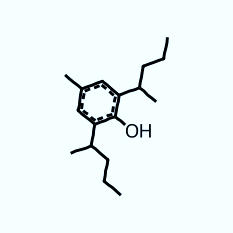 CCCC(C)c1cc(C)cc(C(C)CCC)c1O